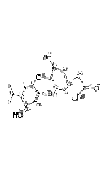 CC(C)c1cc(Oc2c(Br)cc(CC(=O)Cl)cc2Br)ccc1O